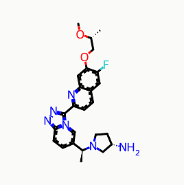 CO[C@H](C)COc1cc2nc(-c3nnc4ccc([C@H](C)N5CC[C@H](N)C5)cn34)ccc2cc1F